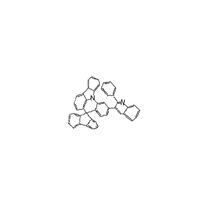 c1ccc(-c2nc3ccccc3cc2-c2ccc3c(c2)-n2c4ccccc4c4cccc(c42)C32c3ccccc3-c3ccccc32)cc1